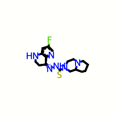 Fc1cnc2c(c1)NCC/C2=N/NC(=S)N1CCN2CCCCC2C1